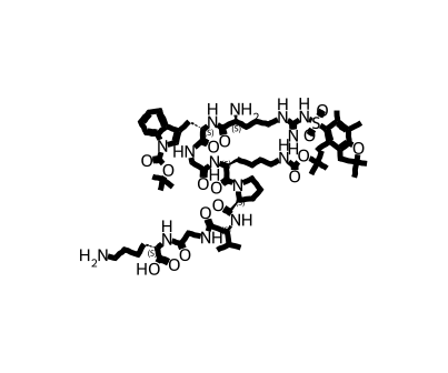 Cc1c(C)c(S(=O)(=O)NC(=N)NCCC[C@H](N)C(=O)N[C@@H](Cc2cn(C(=O)OC(C)(C)C)c3ccccc23)C(=O)NCC(=O)N[C@@H](CCCCNC(=O)OC(C)(C)C)C(=O)N2CCC[C@H]2C(=O)N[C@H](C(=O)NCC(=O)N[C@@H](CCCCN)C(=O)O)C(C)C)c(C)c2c1OC(C)(C)C2